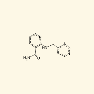 NC(=O)c1cccnc1NCc1ccncn1